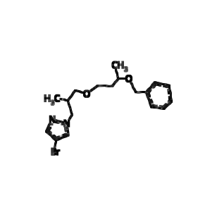 CC(COCCC(C)OCc1ccccc1)Cn1cc(Br)cn1